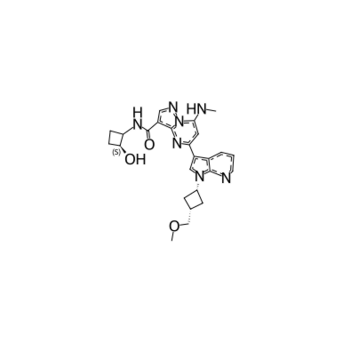 CNc1cc(-c2cn([C@H]3C[C@@H](COC)C3)c3ncccc23)nc2c(C(=O)NC3CC[C@@H]3O)cnn12